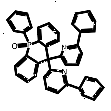 O=P1(c2ccccc2)c2ccccc2C(c2cccc(-c3ccccc3)n2)(c2cccc(-c3ccccc3)n2)c2ccccc21